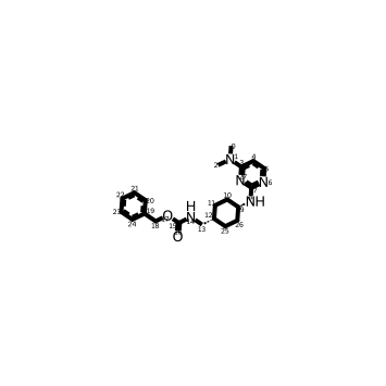 CN(C)c1ccnc(N[C@H]2CC[C@@H](CNC(=O)OCc3ccccc3)CC2)n1